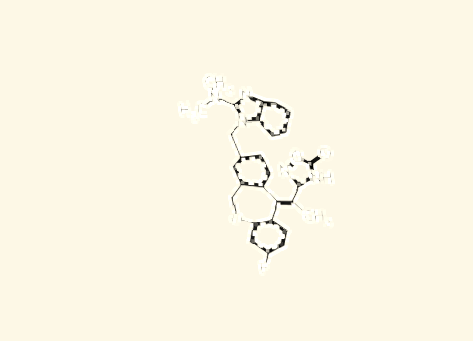 CC(=C1c2ccc(Cn3c(N(C)C)nc4ccccc43)cc2COc2cc(F)ccc21)c1noc(=O)[nH]1